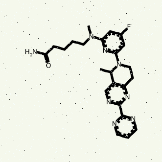 CC1c2cnc(-c3ncccn3)nc2CCN1c1cc(F)cc(N(C)CCCCC(N)=O)n1